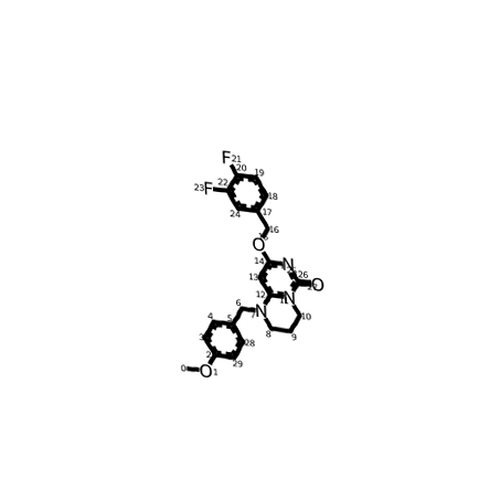 COc1ccc(CN2CCCn3c2cc(OCc2ccc(F)c(F)c2)nc3=O)cc1